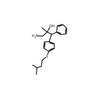 CC(C)CCSc1ccc(C(c2ccccc2)C(C)(O)CN)cc1